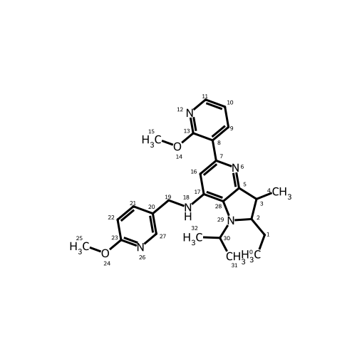 CCC1C(C)c2nc(-c3cccnc3OC)cc(NCc3ccc(OC)nc3)c2N1C(C)C